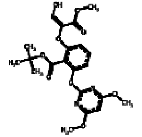 COC(=O)C(=CO)Oc1cccc(Oc2nc(OC)cc(OC)n2)c1C(=O)OC(C)(C)C